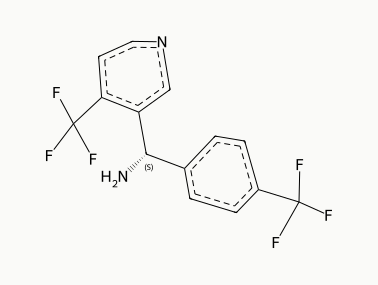 N[C@@H](c1ccc(C(F)(F)F)cc1)c1cnccc1C(F)(F)F